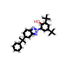 CC(C)(C)c1cc(-n2nc3ccc(C(C)(C)c4ccccc4)cc3n2)c(O)c(C(C)(C)C)c1